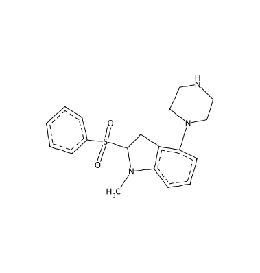 CN1c2cccc(N3CCNCC3)c2CC1S(=O)(=O)c1ccccc1